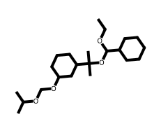 CCOC(OC(C)(C)C1CCCC(OCOC(C)C)C1)C1CCCCC1